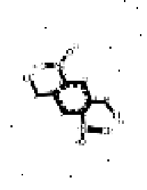 O=[N+]([O-])c1cc(CCl)c([N+](=O)[O-])cc1CCl